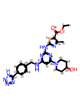 CCOC(=O)c1sc(Nc2nc(NCc3ccc(-c4nnn[nH]4)cc3)cc(N3CCC(O)CC3)n2)nc1C